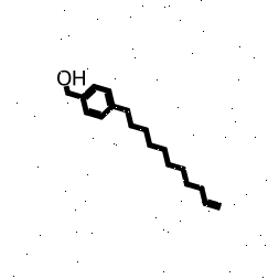 C=CCCCCCCCCCc1ccc(CO)cc1